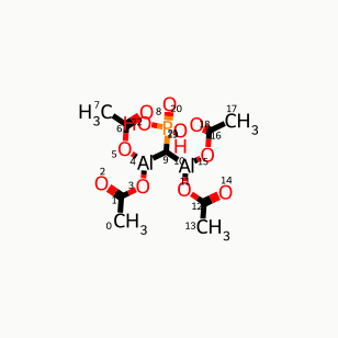 CC(=O)[O][Al]([O]C(C)=O)[CH]([Al]([O]C(C)=O)[O]C(C)=O)P(=O)(O)O